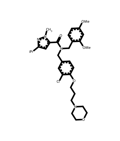 COc1ccc(CN(Cc2ccc(OCCCN3CCOCC3)c(Cl)c2)C(=O)c2cc(C(C)C)nn2C)c(OC)c1